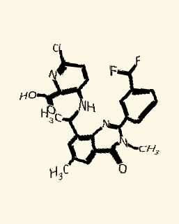 Cc1cc(C(C)Nc2ccc(Cl)nc2C(=O)O)c2nc(-c3cccc(C(F)F)c3)n(C)c(=O)c2c1